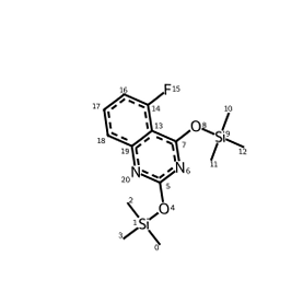 C[Si](C)(C)Oc1nc(O[Si](C)(C)C)c2c(F)cccc2n1